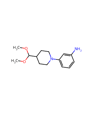 COC(OC)C1CCN(c2cccc(N)c2)CC1